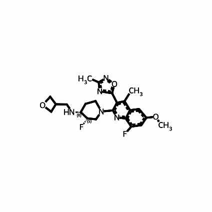 COc1cc(F)c2nc(N3CC[C@@H](NCC4COC4)[C@@H](F)C3)c(-c3nc(C)no3)c(C)c2c1